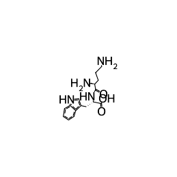 NCCC[C@H](N)C(=O)N[C@@H](Cc1c[nH]c2ccccc12)C(=O)O